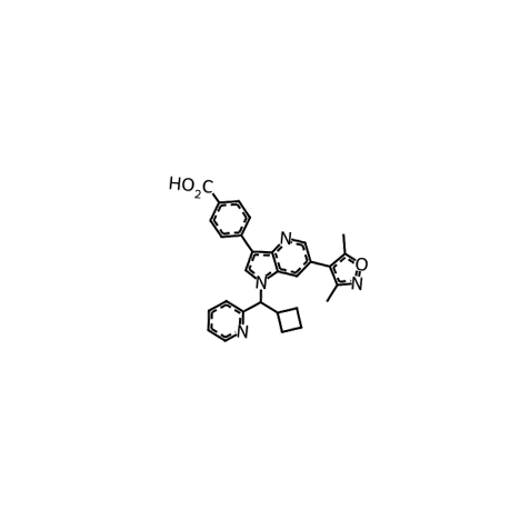 Cc1noc(C)c1-c1cnc2c(-c3ccc(C(=O)O)cc3)cn(C(c3ccccn3)C3CCC3)c2c1